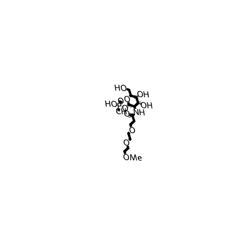 COCCOCCOCCC(=O)NC1[C@@H](OP(C)(=O)O)OC(CO)[C@H](O)[C@@H]1O